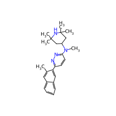 Cc1cc2ccccc2cc1-c1ccc(N(C)C2CC(C)(C)NC(C)(C)C2)nn1